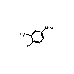 CC(=O)NC1=CC=C(C#N)C(C)C1